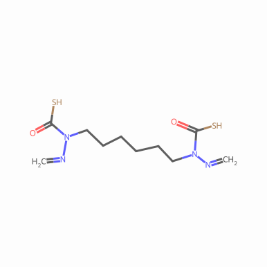 C=NN(CCCCCCN(N=C)C(=O)S)C(=O)S